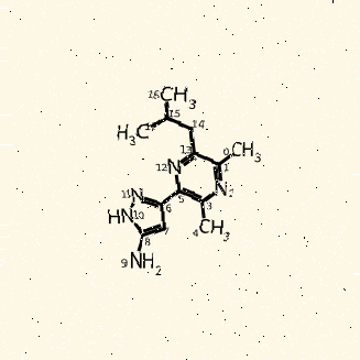 Cc1nc(C)c(-c2cc(N)[nH]n2)nc1CC(C)C